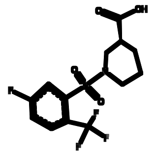 O=C(O)[C@H]1CCCN(S(=O)(=O)c2cc(F)ccc2C(F)(F)F)C1